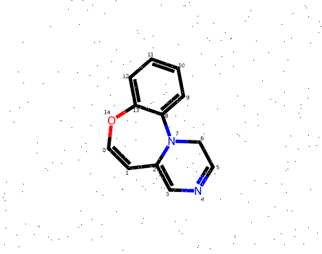 C1=CC2=CN=CCN2c2ccccc2O1